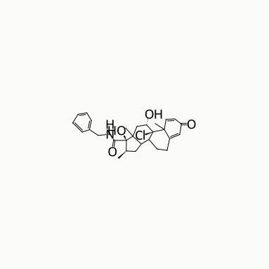 C[C@@H]1CC2C3CCC4=CC(=O)C=CC4(C)[C@@]3(Cl)[C@@H](O)CC2(C)[C@@]1(O)C(=O)NCc1ccccc1